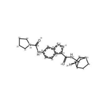 O=C(N[C@@H]1CN2CCC1CC2)c1nsc2cc(NC(=O)N3CCCC3)ccc12